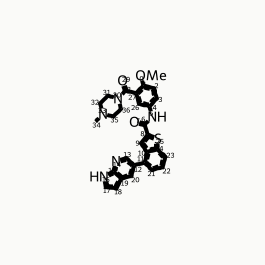 COc1ccc(NC(=O)c2cc3c(-c4cnc5[nH]ccc5c4)cccc3s2)cc1C(=O)N1CCN(C)CC1